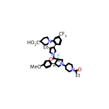 CCC(=O)N1CCC(N2C[C@@H](c3ccc(OC)cc3)[C@](F)(C(=O)N3C[C@H](CC)[C@@H](c4ccc(C(F)(F)F)cc4N4CCC(C(=O)O)CC4)C3)C2)CC1